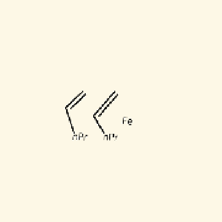 C=CCCC.C=CCCC.[Fe]